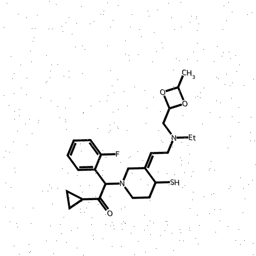 CCN(C/C=C1/CN(C(C(=O)C2CC2)c2ccccc2F)CCC1S)CC1OC(C)O1